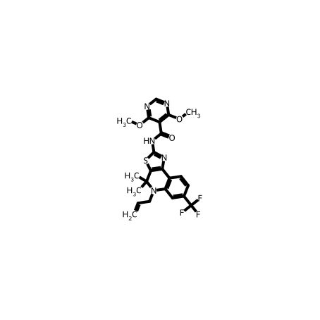 C=CCN1c2cc(C(F)(F)F)ccc2-c2nc(NC(=O)c3c(OC)ncnc3OC)sc2C1(C)C